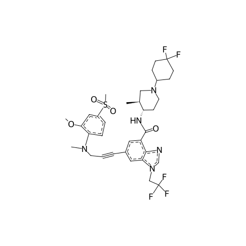 COc1cc(S(C)(=O)=O)ccc1N(C)CC#Cc1cc(C(=O)N[C@H]2CCN(C3CCC(F)(F)CC3)C[C@@H]2C)c2ncn(CC(F)(F)F)c2c1